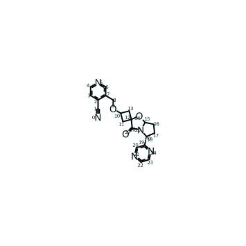 N#Cc1ccncc1COC1CC2(C1)OC1CC[C@@H](c3cnccn3)N1C2=O